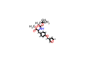 COC(=O)C(Cc1ccc(OCc2ccoc2)cc1)NC(=O)OC(C)(C)C